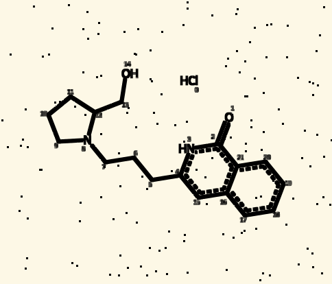 Cl.O=c1[nH]c(CCCN2CCCC2CO)cc2ccccc12